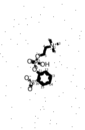 C[N+](C)(C)CCOP(=O)(O)Oc1ccccc1[N+](=O)[O-]